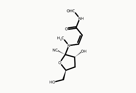 CN(/C=C\C(=O)NC=O)[C@]1(C#N)O[C@H](CO)C[C@H]1O